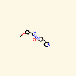 CCOc1cccc(CCNC(=O)N2CCC(Cc3cccnc3)CC2)c1